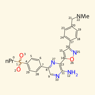 CCCS(=O)(=O)c1ccc(-c2cnc(N)c(-c3cc(-c4ccc(CNC)cc4)no3)n2)cc1